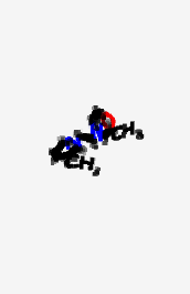 CC1CN(CCN2CCC[C@H](C)C2)CCO1